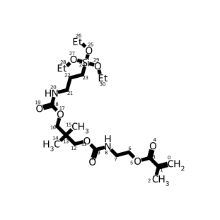 C=C(C)C(=O)OCCNC(=O)OCC(C)(C)COC(=O)NCCC[Si](OCC)(OCC)OCC